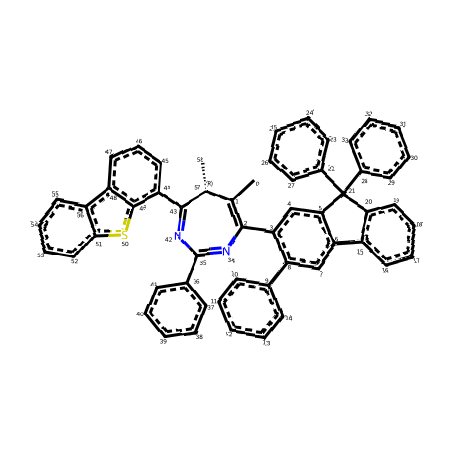 CC1=C(c2cc3c(cc2-c2ccccc2)-c2ccccc2C3(c2ccccc2)c2ccccc2)N=C(c2ccccc2)N=C(c2cccc3c2sc2ccccc23)[C@@H]1C